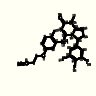 COCCOc1ccc(C)c(NC2=NC(=O)N(C)C3=NCC(c4cc(F)c(F)c(F)c4)N23)c1